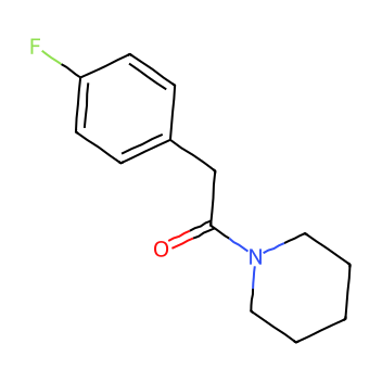 O=C(Cc1ccc(F)cc1)N1CCCCC1